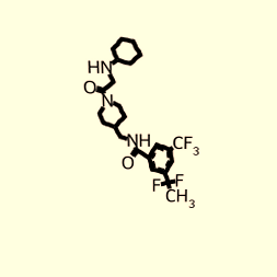 CC(F)(F)c1cc(C(=O)NCC2CCN(C(=O)CNC3CCCCC3)CC2)cc(C(F)(F)F)c1